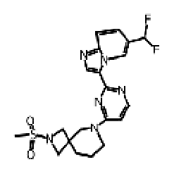 CS(=O)(=O)N1CC2(CCCN(c3ccnc(-c4cnc5ccc(C(F)F)cn45)n3)C2)C1